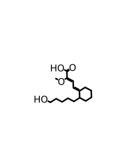 CO/C(=C\C=C1CCCCC1CCCCCO)C(=O)O